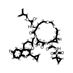 CC(C)COC(=O)N[C@H]1CCCCC/C=C\[C@@H]2C[C@@]2(C(=O)NS(=O)(=O)C2(C)CC2)NC(=O)[C@@H]2C[C@]3(CCc4c(c(C5CC5)nc5ccc(F)cc45)O3)CN2C1=O